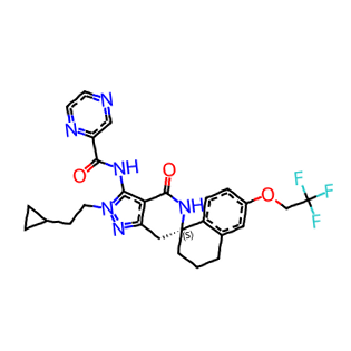 O=C(Nc1c2c(nn1CCC1CC1)C[C@]1(CCCc3cc(OCC(F)(F)F)ccc31)NC2=O)c1cnccn1